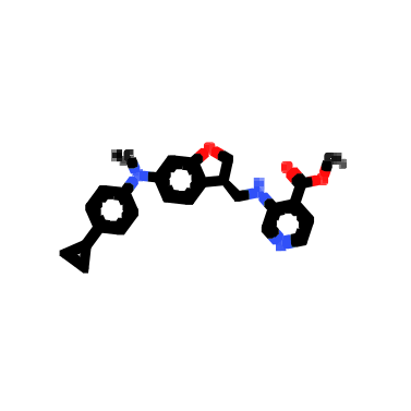 COC(=O)c1ccncc1NC[C@@H]1COc2cc(N(C)c3ccc(C4CC4)cc3)ccc21